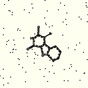 O=c1[nH]c(=O)n(Br)c2c1oc1ncccc12